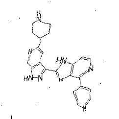 c1cc(-c2nccc3[nH]c(-c4n[nH]c5cnc(C6CCNCC6)cc45)nc23)ccn1